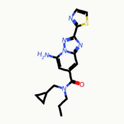 CCCN(CC1CC1)C(=O)c1cc(N)n2nc(-c3nccs3)nc2c1